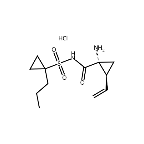 C=C[C@@H]1C[C@]1(N)C(=O)NS(=O)(=O)C1(CCC)CC1.Cl